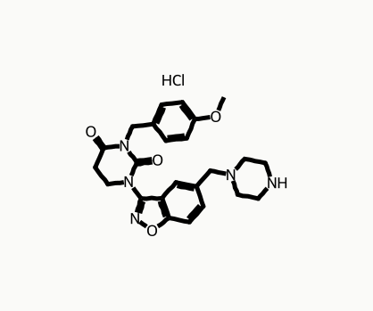 COc1ccc(CN2C(=O)CCN(c3noc4ccc(CN5CCNCC5)cc34)C2=O)cc1.Cl